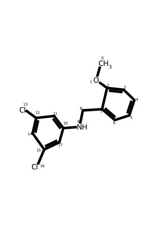 COc1ccccc1CNc1cc(Cl)cc(Cl)c1